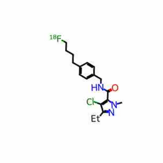 CCc1nn(C)c(C(=O)NCc2ccc(CCCC[18F])cc2)c1Cl